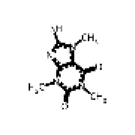 Cn1c(=O)c2c(nc(S)n2C)n(C)c1=O